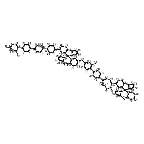 Cc1ccc(-c2ccc(-c3ccc(-c4ccc(-c5ccc6c(c5)C5(c7ccccc7Oc7ccc(Cc8ccc(-c9ccc(C%10=C/C=C(/c%11ccc%12c(c%11)C%11(c%13ccccc%13Sc%13ccccc%13%11)c%11ccccc%11-%12)C(C)C\C=N\%10)cc9)c(C)n8)cc75)c5ccccc5-6)cc4)nn3)cc2)c(C)n1